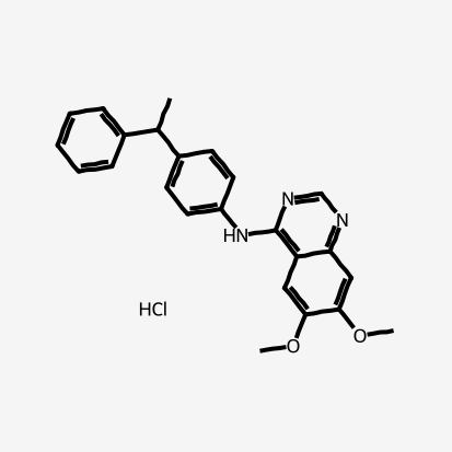 COc1cc2ncnc(Nc3ccc(C(C)c4ccccc4)cc3)c2cc1OC.Cl